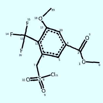 COC(=O)c1cc(CS(=O)(=O)Cl)c(C(F)(F)F)c(OC)c1